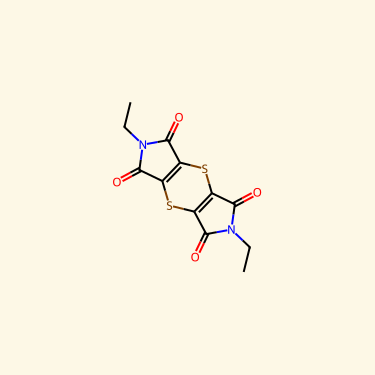 CCn1c(=O)c2sc3c(=O)n(CC)c(=O)c3sc2c1=O